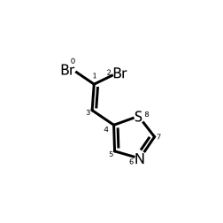 BrC(Br)=Cc1cncs1